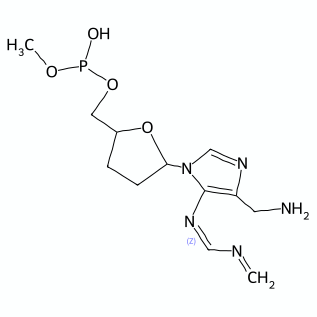 C=N/C=N\c1c(CN)ncn1C1CCC(COP(O)OC)O1